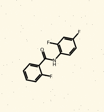 O=C(Nc1ccc(F)cc1F)c1ccccc1F